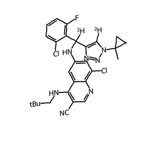 [2H]c1c(C([2H])(Nc2cc(Cl)c3ncc(C#N)c(NCC(C)(C)C)c3c2)c2c(F)cccc2Cl)nnn1C1(C)CC1